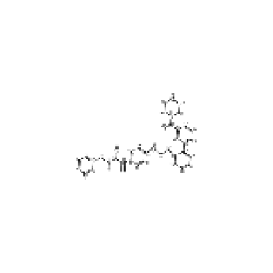 O=C(NCc1cccnc1)Nc1ccc(OCCc2ccccc2-c2cccc(C(=O)N3CCOCC3)c2)cc1